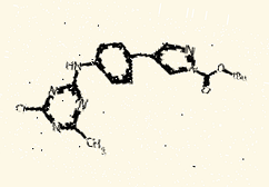 Cc1nc(Cl)nc(Nc2ccc(-c3cnn(C(=O)OC(C)(C)C)c3)cc2)n1